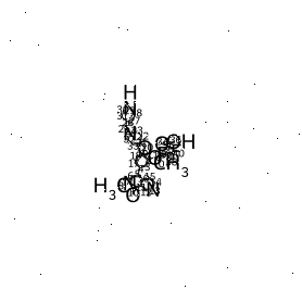 COc1cc(-c2cn(C)c(=O)c3cnccc23)ccc1OC1CCN(CC2CCNCC2)CC1.O=C(O)C(F)(F)F